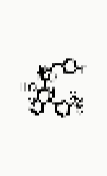 CS(=O)(=O)c1cccc(-c2nc(-c3nnc(Cc4ccc(F)cc4)o3)c(O)c3ncccc23)c1